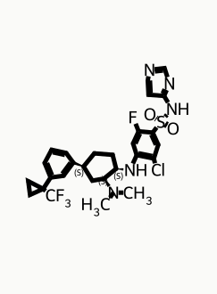 CN(C)[C@H]1C[C@@H](c2cccc(C3(C(F)(F)F)CC3)c2)CC[C@@H]1Nc1cc(F)c(S(=O)(=O)Nc2ccncn2)cc1Cl